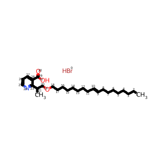 Br.CCCCCCCCC=CCCCCCCCCOCC(C)c1ncccc1C(=O)O